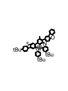 Cc1cc(-c2cc3sc4cc(C(C)(C)C)ccc4c3cc2Nc2ccc(C(C)(C)C)cc2)c2c3c1c1cc4c(cc1n3-c1ccc(C(C)(C)C)cc1B2)oc1ccccc14